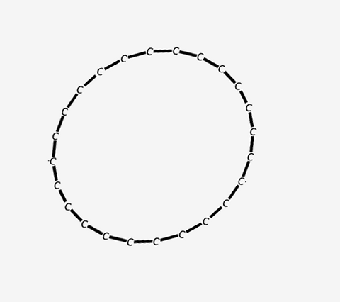 [CH]1CCCCCCCCC[CH]CCCCCCCCCCCCC1